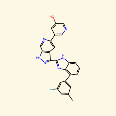 Cc1cc(F)cc(-c2cccc3[nH]c(-c4n[nH]c5cnc(-c6cncc(O)c6)cc45)nc23)c1